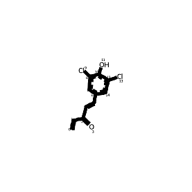 C=CC(=O)/C=C/c1cc(Cl)c(O)c(Cl)c1